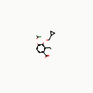 CCc1c(C(=O)O)ccc(OC(F)F)c1OCC1CC1